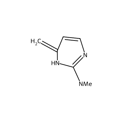 C=C1C=CN=C(NC)N1